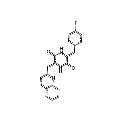 O=c1[nH]c(=Cc2ccc3ccccc3n2)c(=O)[nH]c1=Cc1ccc(F)cc1